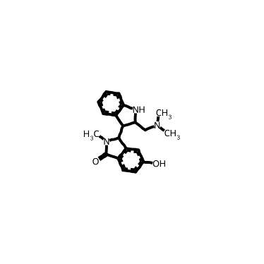 CN(C)CC1Nc2ccccc2C1C1c2cc(O)ccc2C(=O)N1C